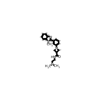 CN(C)CCNC(=O)C1CN(c2cccc(-c3nc4ccccc4n3C)c2)C1